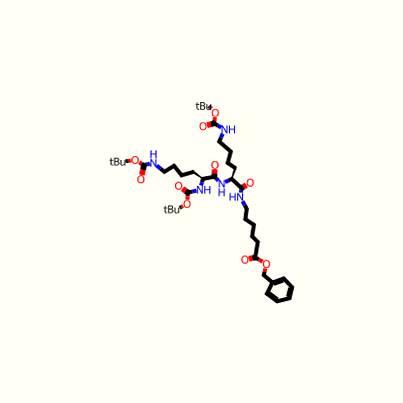 CC(C)(C)OC(=O)NCCCC[C@H](NC(=O)OC(C)(C)C)C(=O)N[C@@H](CCCCNC(=O)OC(C)(C)C)C(=O)NCCCCCC(=O)OCc1ccccc1